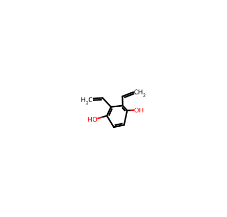 C=Cc1c(O)ccc(O)c1C=C